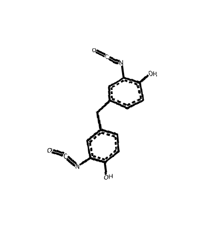 O=C=Nc1cc(Cc2ccc(O)c(N=C=O)c2)ccc1O